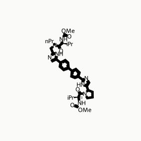 CCCN(Cc1ncc(-c2ccc(-c3ccc(-c4ncc(C5CCCN5C(=O)[C@@H](NC(=O)OC)C(C)C)[nH]4)cc3)cc2)[nH]1)C(=O)[C@@H](NC(=O)OC)C(C)C